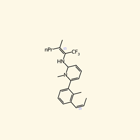 C/C=C\c1cccc(C2=CC=CC(N/C(=C(/C)CCC)C(F)(F)F)N2C)c1C